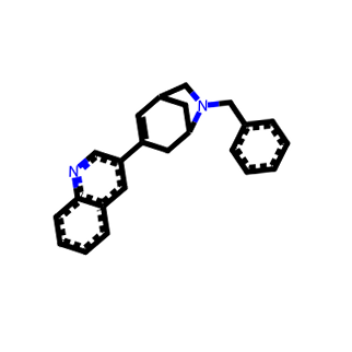 C1=C(c2cnc3ccccc3c2)CC2CC1CN2Cc1ccccc1